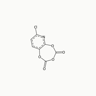 O=C1OC(=O)Oc2nc(Cl)ccc2O1